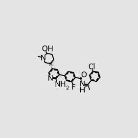 C[C@@H](NC(=O)c1ccc(-c2cc([C@H]3CCC(O)N(C)C3)cnc2N)cc1F)c1cccc(Cl)c1